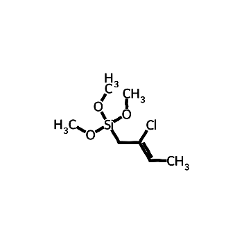 CC=C(Cl)C[Si](OC)(OC)OC